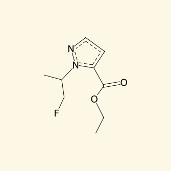 CCOC(=O)c1ccnn1C(C)CF